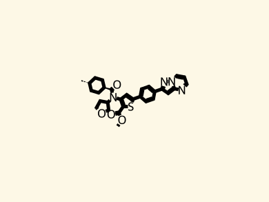 COC(=O)c1sc(-c2ccc(-c3cc4ncccn4n3)cc2)cc1N(C(=O)[C@H]1CC[C@H](C)CC1)C1CCOC1